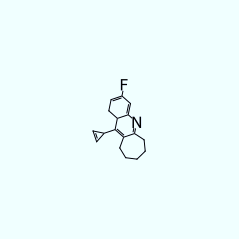 FC1=CCC2C(=C1)N=C1CCCCCC1=C2C1C=C1